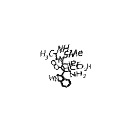 CSN(C(=O)C(C)N)C(C(=O)C(c1c[nH]c2ccccc12)C(N)C(=O)O)C(C)C.Cl